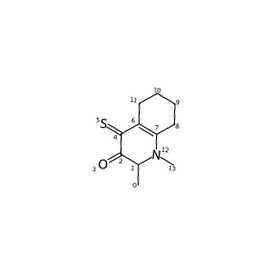 CC1C(=O)C(=S)C2=C(CCCC2)N1C